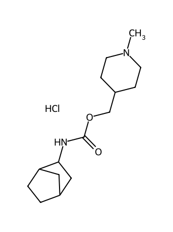 CN1CCC(COC(=O)NC2CC3CCC2C3)CC1.Cl